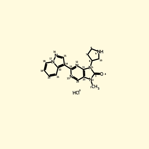 Cl.Cn1c(=O)n(C2CCNC2)c2nc(-c3cnn4ccccc34)ncc21